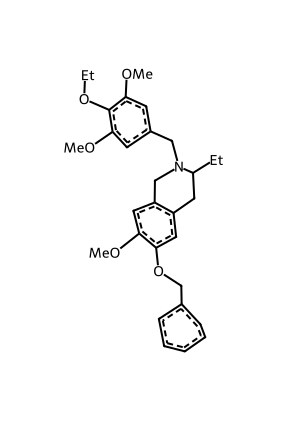 CCOc1c(OC)cc(CN2Cc3cc(OC)c(OCc4ccccc4)cc3CC2CC)cc1OC